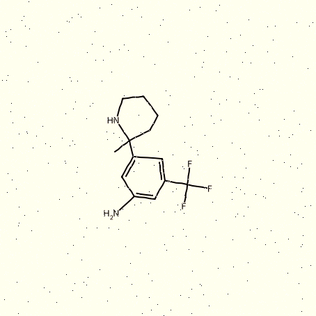 CC1(c2cc(N)cc(C(F)(F)F)c2)CCCCN1